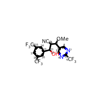 COC(c1cnc(C(F)(F)F)nc1)C(C#N)C(O)c1cc(C(F)(F)F)cc(C(F)(F)F)c1